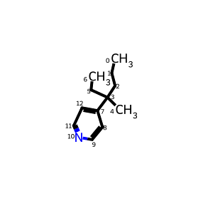 CCCC(C)(CC)c1ccncc1